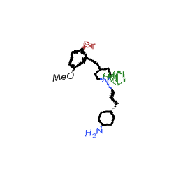 COc1ccc(Br)c(CC2CCN(CCC[C@H]3CC[C@H](N)CC3)CC2)c1.Cl.Cl